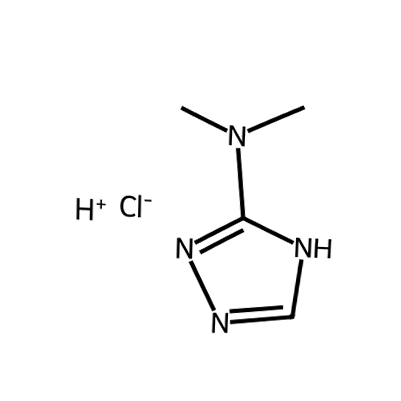 CN(C)c1nnc[nH]1.[Cl-].[H+]